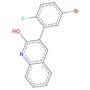 Oc1nc2ccccc2cc1-c1cc(Br)ccc1F